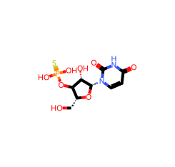 O=c1ccn([C@@H]2O[C@H](CO)C(OP(O)(O)=S)[C@@H]2O)c(=O)[nH]1